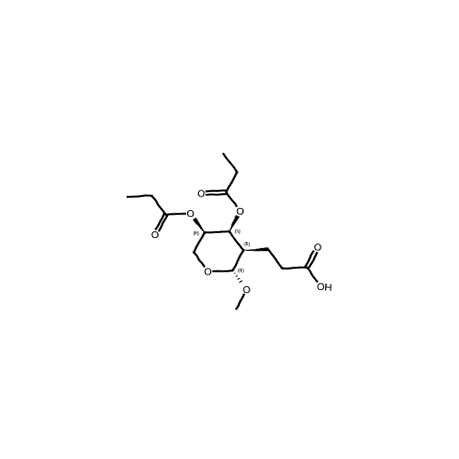 CCC(=O)O[C@H]1[C@@H](CCC(=O)O)[C@H](OC)OC[C@H]1OC(=O)CC